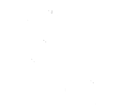 CC(C)N1CCC[C@H]1C1C=CC(c2nc3c(C4OC4N)cccc3[nH]2)=C(F)C1